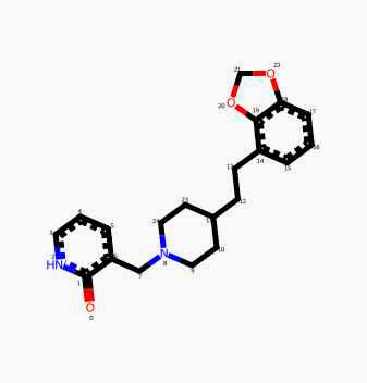 O=c1[nH]cccc1CN1CCC(CCc2cccc3c2OCO3)CC1